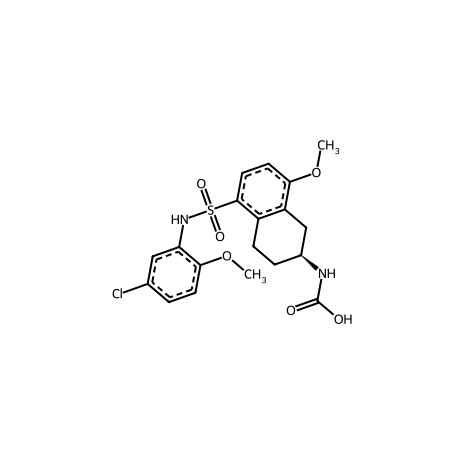 COc1ccc(Cl)cc1NS(=O)(=O)c1ccc(OC)c2c1CC[C@H](NC(=O)O)C2